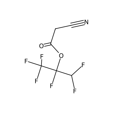 N#CCC(=O)OC(F)(C(F)F)C(F)(F)F